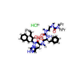 CCCN(CCC)C(=O)N(C)CCN(C)C(=O)N[C@@H](Cc1ccccc1)C(=O)N(C)[C@@H](Cc1c[nH]cn1)C(=O)N[C@@H](CC1CCCCC1)[C@@H](O)CCC(C)C.Cl